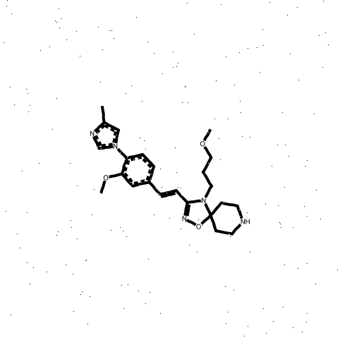 COCCCN1C(/C=C/c2ccc(-n3cnc(C)c3)c(OC)c2)=NOC12CCNCC2